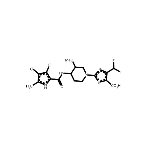 COC1CN(c2nc(C(F)F)c(C(=O)O)s2)CCC1NC(=O)c1[nH]c(C)c(Cl)c1Cl